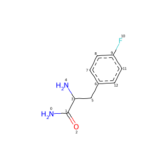 NC(=O)C(N)Cc1ccc(F)cc1